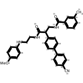 COc1ccc(NCCNC(=O)C(CNC(=O)c2cccc(C)c2)c2ccc(-c3ccc(C#N)cc3)cc2)cc1